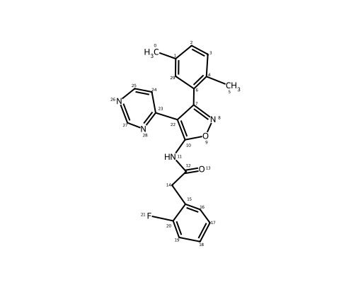 Cc1ccc(C)c(-c2noc(NC(=O)Cc3ccccc3F)c2-c2ccncn2)c1